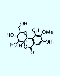 COc1c(O)cc2c(c1O)C1O[C@H](CO)[C@@H](O)[C@H](O)[C@H]1OC2=O